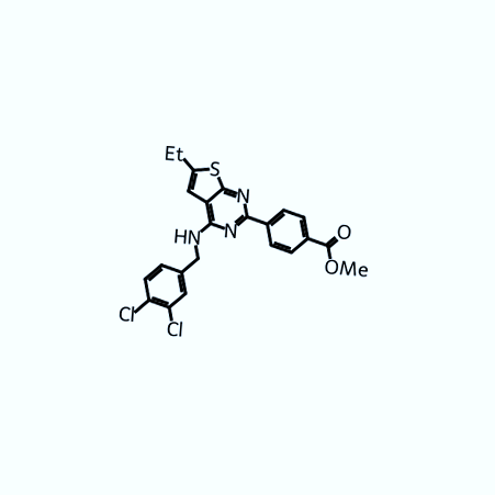 CCc1cc2c(NCc3ccc(Cl)c(Cl)c3)nc(-c3ccc(C(=O)OC)cc3)nc2s1